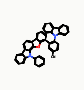 N#Cc1ccc(-n2c3ccccc3c3ccccc32)c(-c2cccc3c2oc2c3ccc3c4ccccc4n(-c4ccccc4)c32)c1